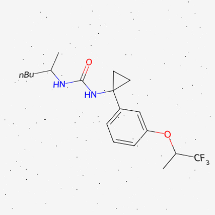 CCCCC(C)NC(=O)NC1(c2cccc(OC(C)C(F)(F)F)c2)CC1